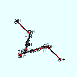 CN[C@@](C=O)(CO)CCCCNC(=O)[C@H](CCCCNC(=O)COCCOCCNC(=O)COCCOCCNC(=O)CC[C@H](NC(=O)CCCCCCCCCCCCCCCCCCC(=O)O)C(=O)O)NC(=O)COCCOCCNC(=O)COCCOCCNC(=O)CC[C@H](NC(=O)CCCCCCCCCCCCCCCCCCC(=O)O)C(=O)O